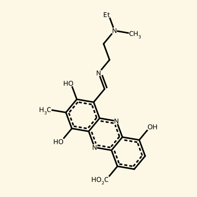 CCN(C)CCN=Cc1c(O)c(C)c(O)c2nc3c(C(=O)O)ccc(O)c3nc12